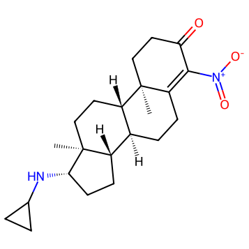 C[C@]12CC[C@H]3[C@@H](CCC4=C([N+](=O)[O-])C(=O)CC[C@@]43C)[C@@H]1CC[C@@H]2NC1CC1